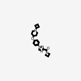 O=C(c1ncn(-c2ccc(OC3CCN(C4CCC4)CC3)cc2)n1)N1CCC1